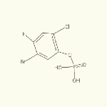 O=P(O)(O)Oc1cc(Br)c(F)cc1Cl